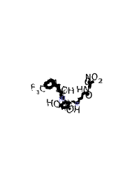 CC(CNC(=O)CCC/C=C\C[C@@H]1[C@@H](/C=C/[C@@H](O)CCc2cccc(C(F)(F)F)c2)[C@H](O)C[C@@H]1O)O[N+](=O)[O-]